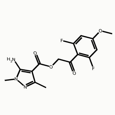 COc1cc(F)c(C(=O)COC(=O)c2c(C)nn(C)c2N)c(F)c1